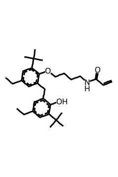 C=CC(=O)NCCCCOc1c(Cc2cc(CC)cc(C(C)(C)C)c2O)cc(CC)cc1C(C)(C)C